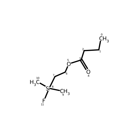 CCCC(=O)OCC[Si](C)(C)F